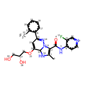 CC1=C(C(=O)Nc2ccncc2F)N2N=C(c3ccccc3C(F)(F)F)C=C(OC[C@H](O)CO)C2N1